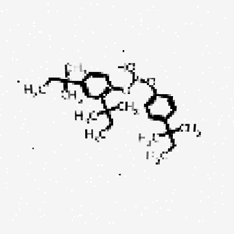 CCC(C)(C)c1ccc(OP(O)Oc2ccc(C(C)(C)CC)cc2C(C)(C)CC)cc1